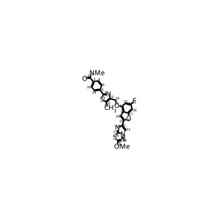 CNC(=O)c1ccc(-c2nc(COc3cc(F)cc4oc(-c5cn6nc(OC)sc6n5)cc34)c(C)s2)cc1